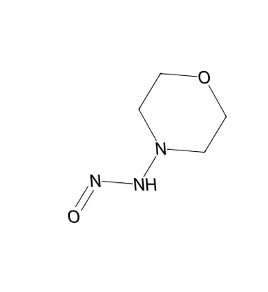 O=NNN1CCOCC1